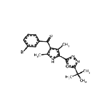 Cc1[nH]c(-c2nnc(C(C)(C)C)o2)c(C)c1C(=O)c1cccc(Br)c1